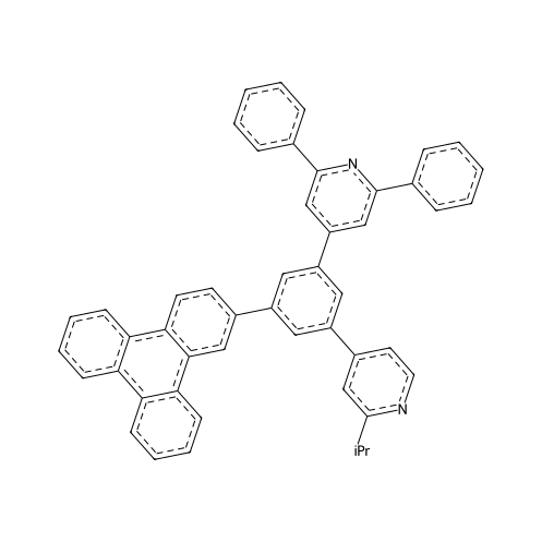 CC(C)c1cc(-c2cc(-c3cc(-c4ccccc4)nc(-c4ccccc4)c3)cc(-c3ccc4c5ccccc5c5ccccc5c4c3)c2)ccn1